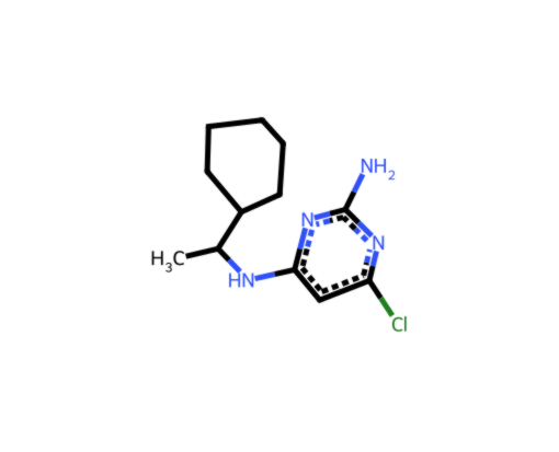 CC(Nc1cc(Cl)nc(N)n1)C1CCCCC1